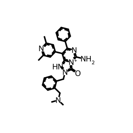 Cc1cc(-c2c(-c3ccccc3)nc(N)[n+]3c(=O)n(Cc4ccccc4CN(C)C)[nH]c23)cc(C)n1